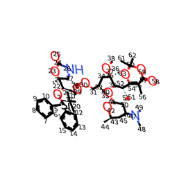 CC[C@@H](O[Si](c1ccccc1)(c1ccccc1)C(C)(C)C)[C@@]1(C)OC(=O)N[C@@H]1C(=O)OC[C@H](C)C[C@@](C)(OC)[C@H](O[C@@H]1O[C@H](C)CC(N(C)C)[C@H]1C)[C@@H](C)C1=C(C)C(=O)OC(C)(C)O1